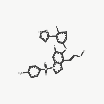 CCO/C=C/c1c(Oc2ccc(F)c(-c3cc[nH]n3)c2)c(F)cc2c1ccn2S(=O)(=O)c1ccc(C)cc1